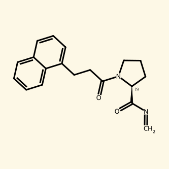 C=NC(=O)[C@@H]1CCCN1C(=O)CCc1cccc2ccccc12